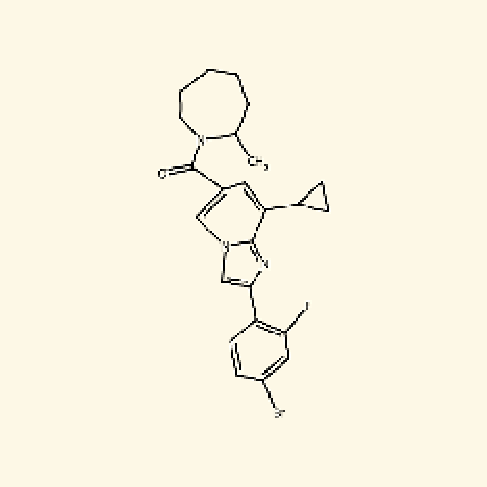 CC1CCCCCN1C(=O)c1cc(C2CC2)c2nc(-c3ccc(Br)cc3F)cn2c1